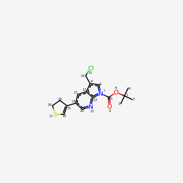 CC(C)(C)OC(=O)n1cc(CCl)c2cc(C3=CSCC3)cnc21